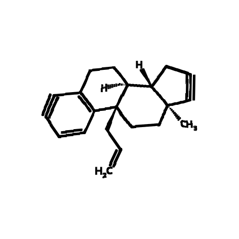 C=CC[C@]12CC[C@]3(C)C#CC[C@H]3[C@@H]1CCc1c#cccc12